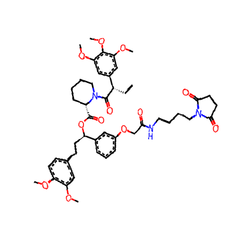 CC[C@H](C(=O)N1CCCC[C@H]1C(=O)O[C@H](CCc1ccc(OC)c(OC)c1)c1cccc(OCC(=O)NCCCCN2C(=O)CCC2=O)c1)c1cc(OC)c(OC)c(OC)c1